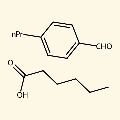 CCCCCC(=O)O.CCCc1ccc(C=O)cc1